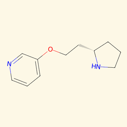 c1cncc(OCC[C@@H]2CCCN2)c1